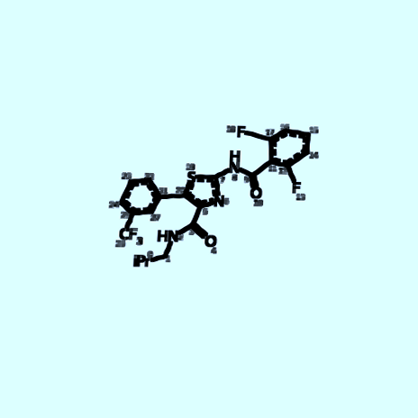 CC(C)CNC(=O)c1nc(NC(=O)c2c(F)cccc2F)sc1-c1cccc(C(F)(F)F)c1